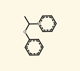 C[C](Oc1ccccc1)[n+]1ccccc1